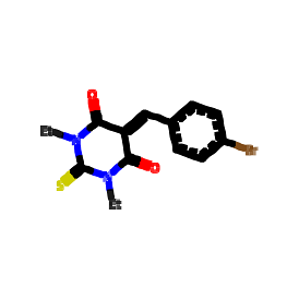 CCN1C(=O)C(=Cc2ccc(Br)cc2)C(=O)N(CC)C1=S